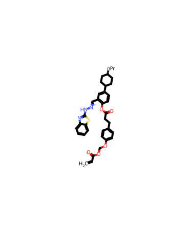 C=CC(=O)OCOc1ccc(CCC(=O)Oc2ccc(C3CCC(CCC)CC3)cc2/C=N/Nc2nc3ccccc3s2)cc1